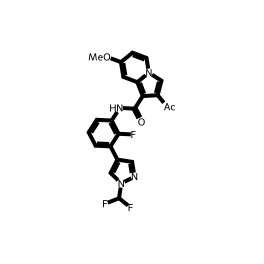 COc1ccn2cc(C(C)=O)c(C(=O)Nc3cccc(-c4cnn(C(F)F)c4)c3F)c2c1